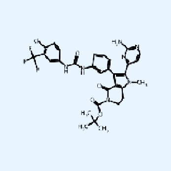 Cn1c2c(c(-c3cccc(NC(=O)Nc4ccc(Cl)c(C(F)(F)F)c4)c3)c1-c1ccnc(N)n1)C(=O)N(C(=O)OC(C)(C)C)CC2